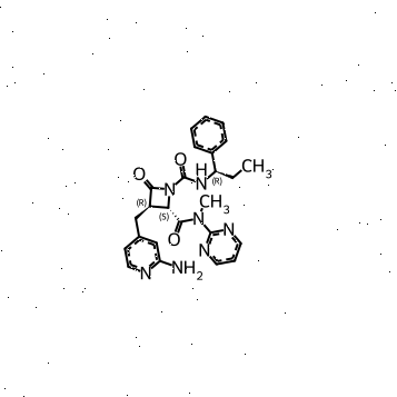 CC[C@@H](NC(=O)N1C(=O)[C@H](Cc2ccnc(N)c2)[C@H]1C(=O)N(C)c1ncccn1)c1ccccc1